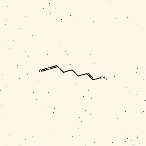 CC=CCCCC=C=O